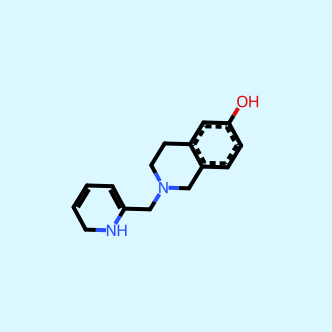 Oc1ccc2c(c1)CCN(CC1=CC=CCN1)C2